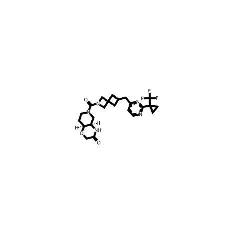 O=C1CO[C@H]2CCN(C(=O)N3CC4(CC(Cc5ccnc(C6(C(F)(F)F)CC6)n5)C4)C3)C[C@H]2N1